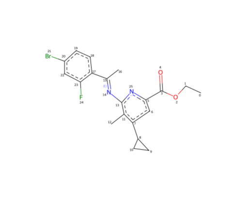 CCOC(=O)c1cc(C2CC2)c(C)c(/N=C(\C)c2ccc(Br)cc2F)n1